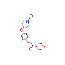 Cc1cc(OC2CCN(C3CCC3)CC2)ccc1C=CC(=O)N1CCOCC1